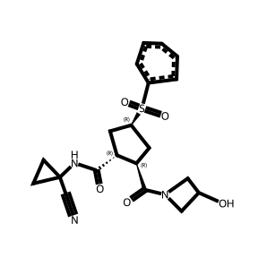 N#CC1(NC(=O)[C@@H]2C[C@@H](S(=O)(=O)c3ccccc3)C[C@H]2C(=O)N2CC(O)C2)CC1